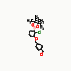 CC1(C)OB(c2cccc(OCc3ccc(C=O)cc3)c2Cl)OC1(C)C